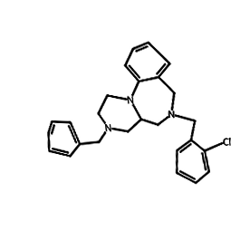 Clc1ccccc1CN1Cc2ccccc2N2CCN(Cc3ccccc3)CC2C1